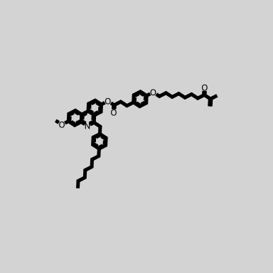 C=C(C)C(=O)CCCCCCCOc1ccc(CCC(=O)Oc2ccc3c(c2)c(Cc2ccc(CCCCCCC)cc2)nc2cc(OC)ccc23)cc1